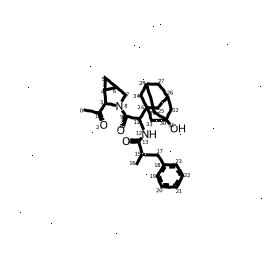 CC(=O)C1C2CC2CN1C(=O)C(NC(=O)C(C)Cc1ccccc1)C12CC3CC(CC(O)(C3)C1)C2